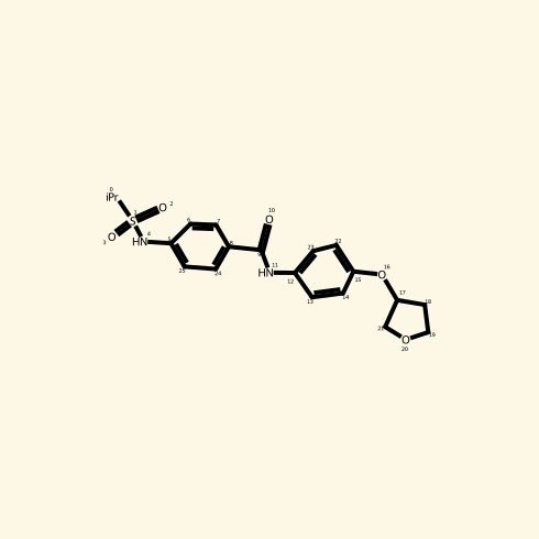 CC(C)S(=O)(=O)Nc1ccc(C(=O)Nc2ccc(OC3CCOC3)cc2)cc1